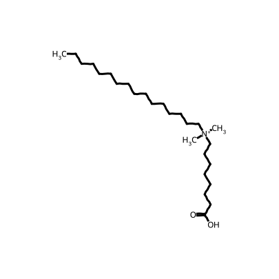 CCCCCCCCCCCCCCCC[N+](C)(C)CCCCCCCC(=O)O